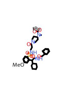 COc1ccc(S(=O)(=O)NCCC(=O)N2CCC(N(C)C(=O)OC(C)(C)C)CC2)c(C(C(=O)NOCc2ccccc2)C2CCCCC2)c1